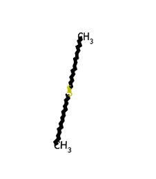 CCCCCCCCCCCCCCCCCCSSCCCCCCCCCCCCCCCCCC